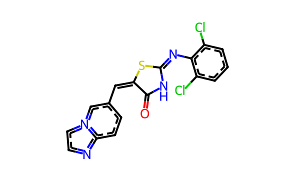 O=C1NC(=Nc2c(Cl)cccc2Cl)SC1=Cc1ccc2nccn2c1